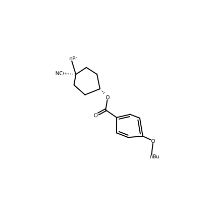 CCCCOc1ccc(C(=O)O[C@H]2CC[C@](C#N)(CCC)CC2)cc1